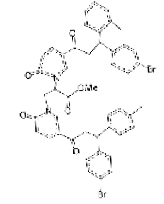 COC(=O)C(Cn1cc(C(=O)CC(c2ccc(C)cc2)c2ccc(Br)cc2)ccc1=O)n1cc(C(=O)CC(c2ccc(Br)cc2)c2ccccc2C)ccc1=O